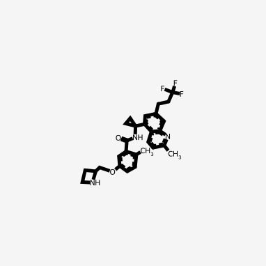 Cc1ccc2c(C3(NC(=O)c4cc(OCC5CCN5)ccc4C)CC3)cc(CCC(F)(F)F)cc2n1